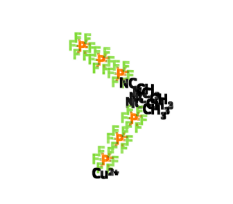 CC#[NH+].CC#[NH+].CC#[NH+].CC#[NH+].F[P-](F)(F)(F)(F)F.F[P-](F)(F)(F)(F)F.F[P-](F)(F)(F)(F)F.F[P-](F)(F)(F)(F)F.F[P-](F)(F)(F)(F)F.F[P-](F)(F)(F)(F)F.[Cu+2]